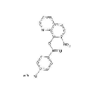 CCCOc1ccc(C(=O)Oc2c([N+](=O)[O-])ccc3cccnc23)cc1